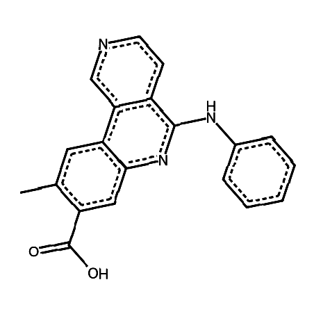 Cc1cc2c(cc1C(=O)O)nc(Nc1ccccc1)c1ccncc12